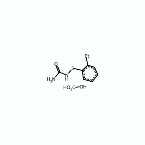 CCc1ccccc1SNC(N)=O.O=C(O)O